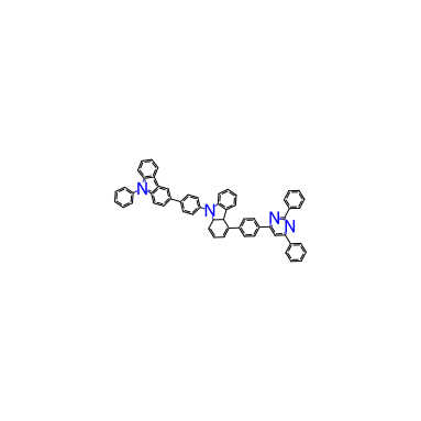 C1=CC2C(C(c3ccc(-c4cc(-c5ccccc5)nc(-c5ccccc5)n4)cc3)=C1)c1ccccc1N2c1ccc(-c2ccc3c(c2)c2ccccc2n3-c2ccccc2)cc1